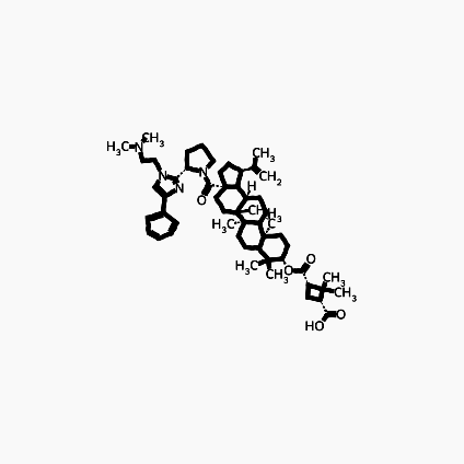 C=C(C)[C@@H]1CC[C@]2(C(=O)N3CCC[C@H]3c3nc(-c4ccccc4)cn3CCN(C)C)CC[C@]3(C)[C@H](CCC4[C@@]5(C)CC[C@H](OC(=O)[C@H]6C[C@@H](C(=O)O)C6(C)C)C(C)(C)C5CC[C@]43C)C12